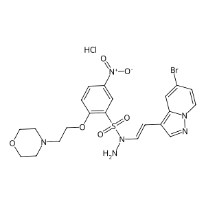 Cl.NN(C=Cc1cnn2ccc(Br)cc12)S(=O)(=O)c1cc([N+](=O)[O-])ccc1OCCN1CCOCC1